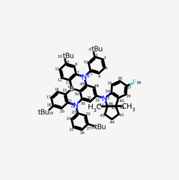 CC(C)(C)c1cccc(N2c3cc(C(C)(C)C)ccc3B3c4ccc(C(C)(C)C)cc4N(c4cccc(C(C)(C)C)c4)c4cc(N5c6ccc(F)cc6C6(C)CCCC56C)cc2c43)c1